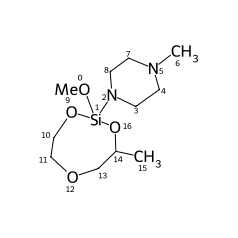 CO[Si]1(N2CCN(C)CC2)OCCOCC(C)O1